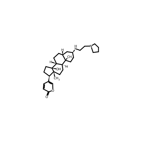 C[C@]12CC[C@H](NCCN3CCCC3)C[C@H]1CC[C@@H]1[C@@H]2CC[C@]2(C)[C@@H](c3ccc(=O)oc3)CC[C@]12O